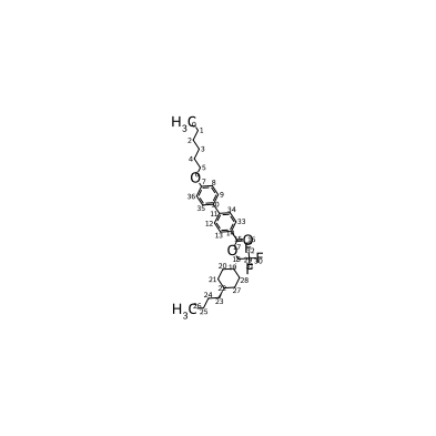 CCCCCCOc1ccc(-c2ccc(C(=O)OC([C@H]3CC[C@H](CCCC)CC3)C(F)(F)F)cc2)cc1